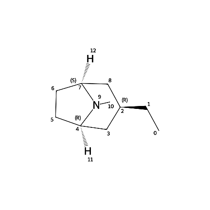 CC[C@H]1C[C@H]2CC[C@@H](C1)N2C